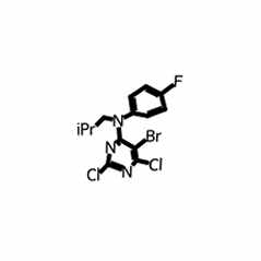 CC(C)CN(c1ccc(F)cc1)c1nc(Cl)nc(Cl)c1Br